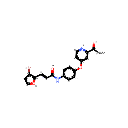 CNC(=O)c1cc(Oc2ccc(NC(=O)/C=C/c3occc3Br)cc2)ccn1